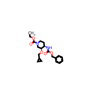 CCOC(=O)N1CC[C@@H](NC(=O)OCc2ccccc2)[C@@H](OCC2CC2)C1